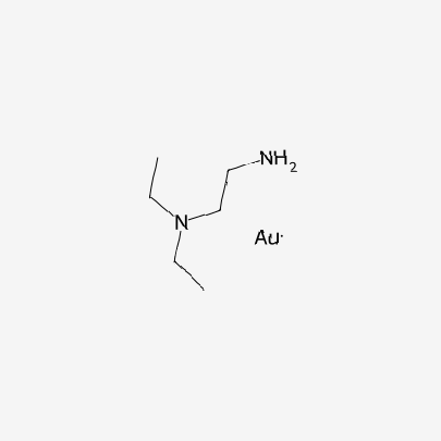 CCN(CC)CCN.[Au]